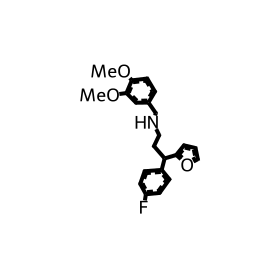 COc1ccc(CNCCC(c2ccc(F)cc2)c2ccco2)cc1OC